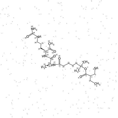 CCC(CS)C(=O)OC(C)(C)CCCCC(=O)N[C@@H](C)C(=O)N[C@@H](CCCNC(N)=O)C(C)=O